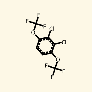 FC(F)(F)Oc1ccc(OC(F)(F)F)c(Cl)c1Cl